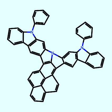 c1ccc(-n2c3ccccc3c3cc4c5c6ccc7cccc8ccc(c6c78)c6c7cc8c9ccccc9n(-c9ccccc9)c8cc7n(c4cc32)c56)cc1